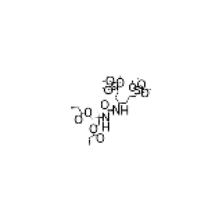 C=CC(=O)OCC(C)(COC(=O)C=C)NC(=O)NC(CCC[Si](OC)(OC)OC)CC[Si](OC)(OC)OC